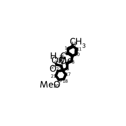 COC(=O)CC1(CC(=O)Cc2ccc(C)cc2C)CCC(OC)CC1